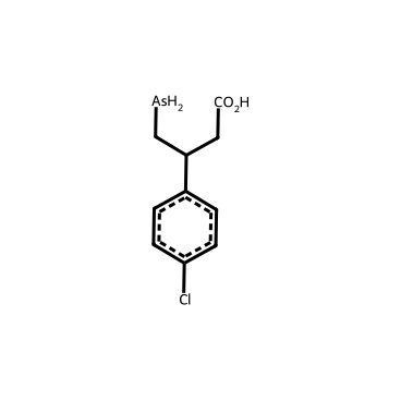 O=C(O)CC(C[AsH2])c1ccc(Cl)cc1